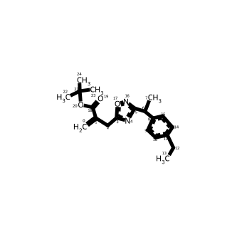 C=C(Cc1nc(C(C)c2ccc(CC)cc2)no1)C(=O)OC(C)(C)C